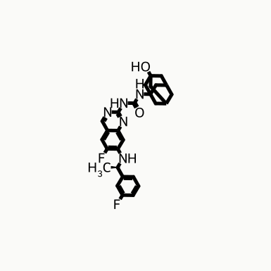 C[C@@H](Nc1cc2nc(NC(=O)NC34CC5CC(CC(O)(C5)C3)C4)ncc2cc1F)c1cccc(F)c1